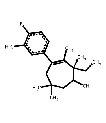 CC[C@@]1(C)C(C)=C(c2ccc(F)c(C)c2)CC(C)(C)CC1C